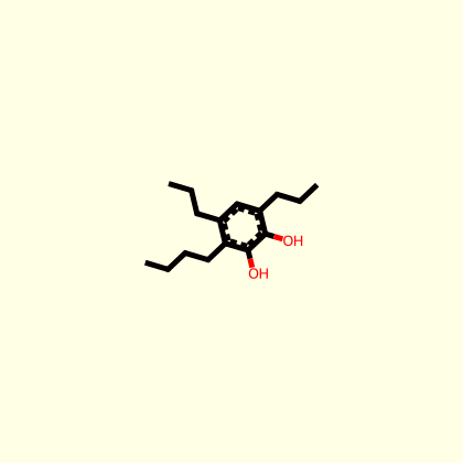 CCCCc1c(CCC)cc(CCC)c(O)c1O